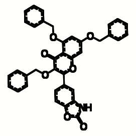 O=c1[nH]c2cc(-c3oc4cc(OCc5ccccc5)cc(OCc5ccccc5)c4c(=O)c3OCc3ccccc3)ccc2o1